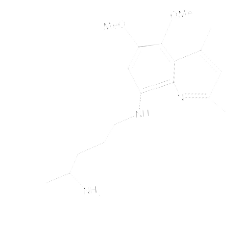 COc1cc(NCCCC(C)N)c2nc(C)cc(C)c2c1OC